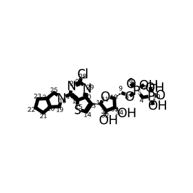 O=P(O)(O)CP(=O)(O)OC[C@H]1O[C@@H](c2csc3c(N4CC5CCCC5C4)nc(Cl)nc23)[C@H](O)[C@@H]1O